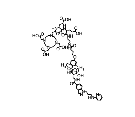 Cc1cc(OCCCC(=O)NCCNC(=O)[C@H](CCC(=O)O)NC(=O)[C@H](CCC(=O)O)NC(=O)CN2CCN(CC(=O)O)CCN(CC(=O)O)CCN(CC(=O)O)CC2)cc(C)c1S(=O)(=O)N[C@@H](CNC(=O)c1ccc2c(cnn2CCCNc2ccccn2)c1)C(=O)O